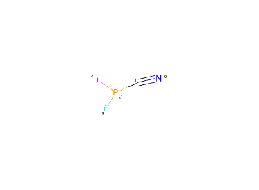 N#CP(F)I